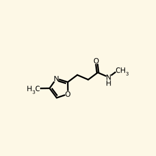 CNC(=O)CCc1nc(C)co1